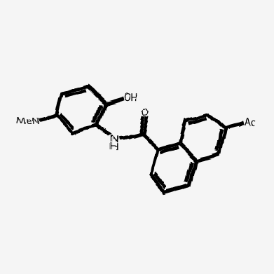 CNc1ccc(O)c(NC(=O)c2cccc3cc(C(C)=O)ccc23)c1